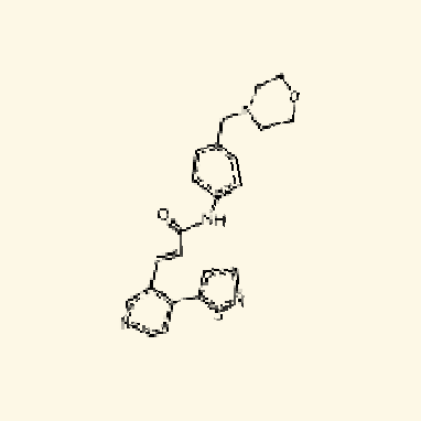 O=C(/C=C/c1cnccc1-c1ccns1)Nc1ccc(CN2CCOCC2)cc1